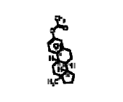 CC(=O)OC1=CC[C@@]2(C)C(CC[C@H]3[C@@H]4CCC[C@@]4(C)CC[C@@H]32)C1